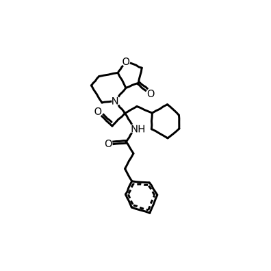 O=CC(CC1CCCCC1)(NC(=O)CCc1ccccc1)N1CCCC2OCC(=O)C21